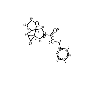 O=C(OCc1ccccc1)N1CC2(CC2)C2(C1)OCCO2